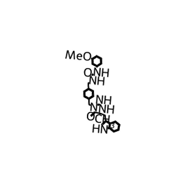 COc1cccc(NC(=O)NCc2ccc(CN3C(=N)NC(C)(Cc4c[nH]c5ccccc45)C3=O)cc2)c1